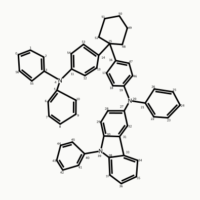 c1ccc(N(c2ccccc2)c2ccc(C3(c4ccc(N(c5ccccc5)c5ccc6c(c5)c5ccccc5n6-c5ccccc5)cc4)CCCCC3)cc2)cc1